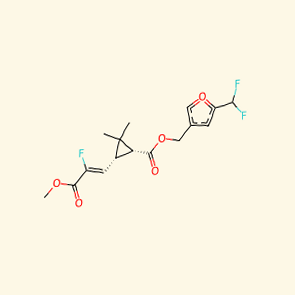 COC(=O)/C(F)=C/[C@H]1[C@@H](C(=O)OCc2coc(C(F)F)c2)C1(C)C